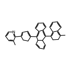 CC1=c2ccccc2=C(C2=c3ccccc3=C(C3=CC=C(c4ncccc4C)CC3)C3C=CC=CC23)CC1